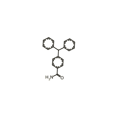 NC(=O)c1ccc([C](c2ccccc2)c2ccccc2)cc1